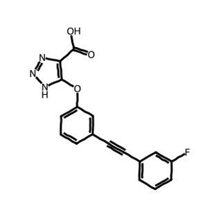 O=C(O)c1nn[nH]c1Oc1cccc(C#Cc2cccc(F)c2)c1